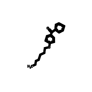 CCCCCCCOc1ccc(C(=O)c2ccccc2)cc1